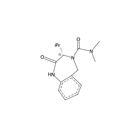 CC(C)[C@H]1C(=O)Nc2ccccc2CN1C(=O)N(C)C